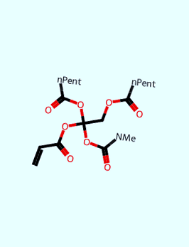 C=CC(=O)OC(COC(=O)CCCCC)(OC(=O)CCCCC)OC(=O)NC